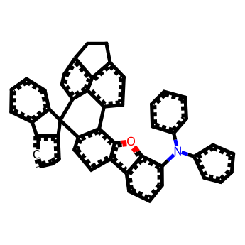 c1ccc(N(c2ccccc2)c2cccc3c2oc2c4c(ccc23)C2(c3ccccc3-c3ccccc32)c2ccc3c5c(ccc-4c25)CC3)cc1